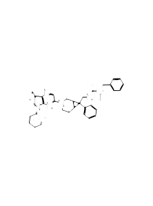 O=C(NCC1(c2ccccc2)C2CCN(c3cnc4c(I)nn(C5CCCCO5)c4n3)CC21)OCc1ccccc1